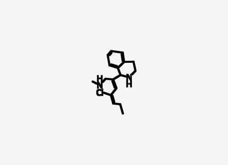 CC/C=C(Cl)\C=C(/CNC)C1NCCc2ccccc21